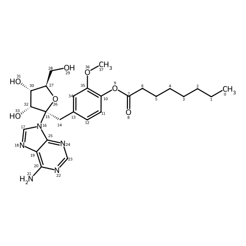 CCCCCCCC(=O)Oc1ccc(C[C@@]2(n3cnc4c(N)ncnc43)O[C@H](CO)[C@@H](O)[C@H]2O)cc1OC